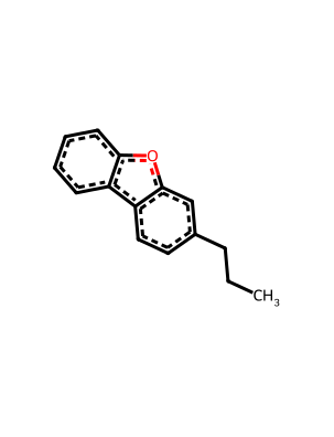 CCCc1ccc2c(c1)oc1ccccc12